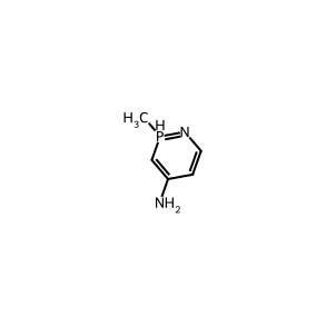 C[PH]1=NC=CC(N)=C1